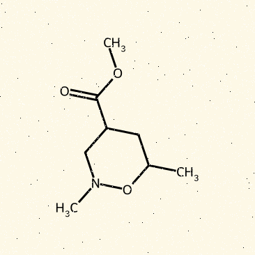 COC(=O)C1CC(C)ON(C)C1